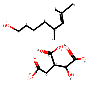 CC(C)=CC(C)CCCCO.O=C(O)CC(C(=O)O)C(O)C(=O)O